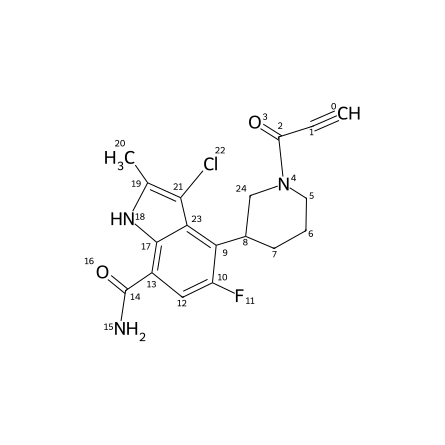 C#CC(=O)N1CCCC(c2c(F)cc(C(N)=O)c3[nH]c(C)c(Cl)c23)C1